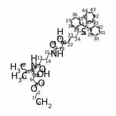 C=CCOC(=O)C[C@H](O)[C@H](NC(=O)CCCNC(=O)C[C@H](O)C=CCCSC(c1ccccc1)(c1ccccc1)c1ccccc1)C(C)C